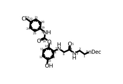 CCCCCCCCCCCCNC(=O)CNc1cc(O)ccc1OC(=O)Nc1ccc(Cl)cc1